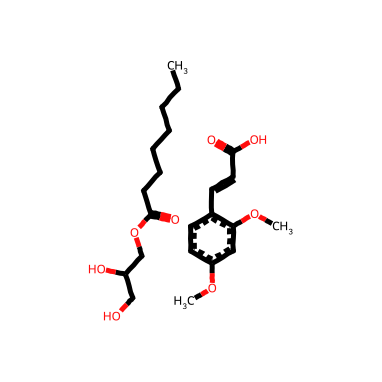 CCCCCCCC(=O)OCC(O)CO.COc1ccc(C=CC(=O)O)c(OC)c1